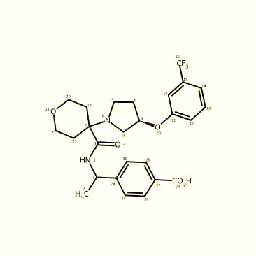 CC(NC(=O)C1(N2CC[C@@H](Oc3cccc(C(F)(F)F)c3)C2)CCOCC1)c1ccc(C(=O)O)cc1